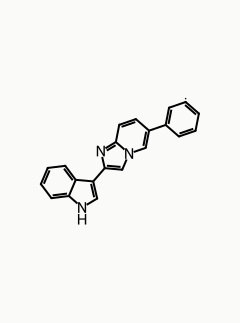 [c]1cccc(-c2ccc3nc(-c4c[nH]c5ccccc45)cn3c2)c1